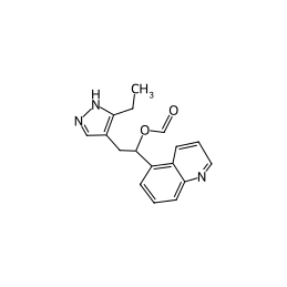 CCc1[nH]ncc1CC(OC=O)c1cccc2ncccc12